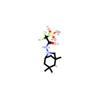 CC1(C)CC2CC(C)(CN2NC(=O)C(F)(F)S(=O)(=O)O)C1